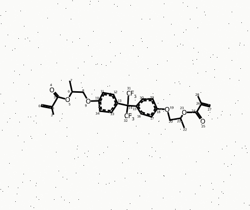 C=C(C)C(=O)OC(C)COc1ccc(C(c2ccc(OCC(C)OC(=O)C(=C)C)cc2)(C(F)(F)F)C(F)(F)F)cc1